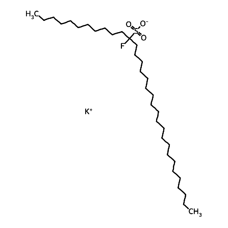 CCCCCCCCCCCCCCCCCCCCCC(F)(CCCCCCCCCCC)S(=O)(=O)[O-].[K+]